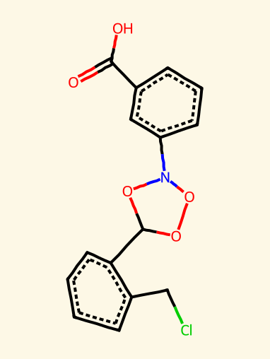 O=C(O)c1cccc(N2OOC(c3ccccc3CCl)O2)c1